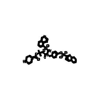 CC(C)(CC(=O)[C@H](Cc1ccc(OS(=O)(=O)c2ccc3ccccc3n2)cc1)NS(=O)(=O)c1cccc2cnccc12)OC(=O)N1CCNCC1